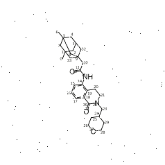 CC12CC3CC(C)(C1)CC(CC(=O)Nc1cccc4c1CCN(CC1CCOCC1)C4=O)(C3)C2